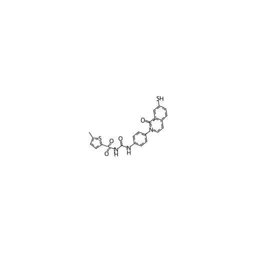 Cc1ccc(S(=O)(=O)NC(=O)Nc2ccc(-n3ccc4ccc(S)cc4c3=O)cc2)s1